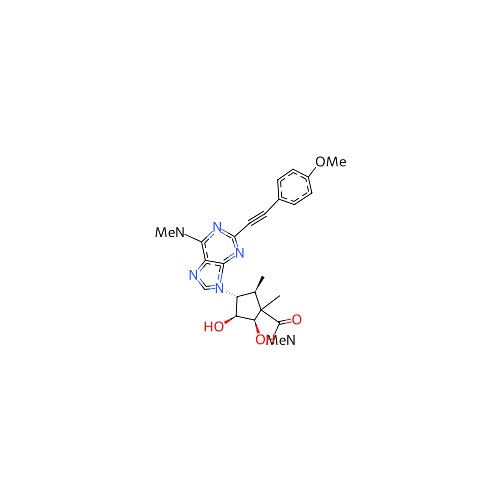 CNC(=O)C1(C)[C@H](C)[C@@H](n2cnc3c(NC)nc(C#Cc4ccc(OC)cc4)nc32)[C@H](O)[C@@H]1O